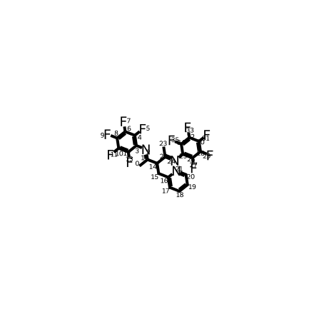 C/C(=N\c1c(F)c(F)c(F)c(F)c1F)C(Cc1ccccn1)/C(C)=N/c1c(F)c(F)c(F)c(F)c1F